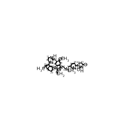 C=CC(=O)Nc1cc(Nc2nccc(-c3cn(C)c4ccccc34)n2)c(OC)cc1N(C)CCN(C)Cc1ccc(N2CCC(=O)NC2=O)nn1